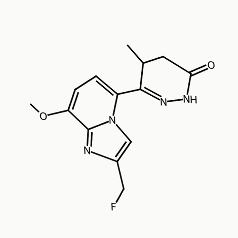 COc1ccc(C2=NNC(=O)CC2C)n2cc(CF)nc12